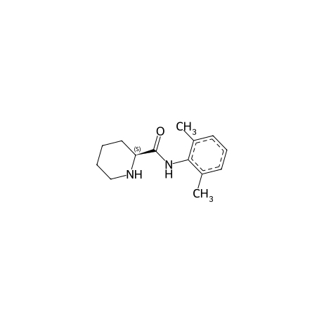 Cc1cccc(C)c1NC(=O)[C@@H]1CCCCN1